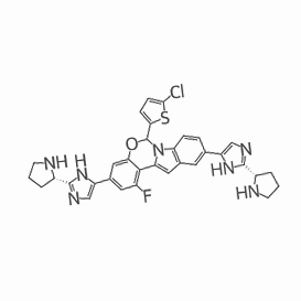 Fc1cc(-c2cnc([C@@H]3CCCN3)[nH]2)cc2c1-c1cc3cc(-c4cnc([C@@H]5CCCN5)[nH]4)ccc3n1C(c1ccc(Cl)s1)O2